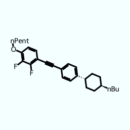 CCCCCOc1ccc(C#Cc2ccc([C@H]3CC[C@H](CCCC)CC3)cc2)c(F)c1F